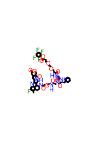 Cc1c(F)cc2nc3c(c4c2c1CC[C@@H]4NC(=O)COCNC(=O)CNC(=O)[C@H](Cc1ccccc1)NC(=O)CNC(=O)CCOCCOCCC(=O)Oc1c(F)c(F)cc(F)c1F)Cn1c-3cc2c(c1=O)COC(=O)C2